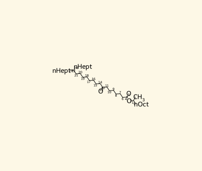 CCCCCCCCC(C)OC(=O)CCCCCCC(=O)CCCCCCCCC(CCCCCCC)CCCCCCC